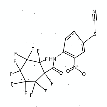 N#CSc1ccc(NC(=O)C2(F)C(F)(F)C(F)(F)C(F)(F)C(F)(F)C2(F)F)c([N+](=O)[O-])c1